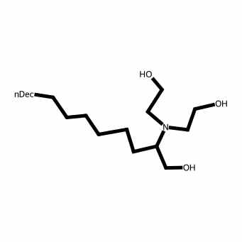 CCCCCCCCCCCCCCCCC(CO)N(CCO)CCO